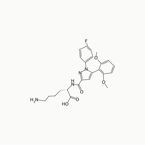 COc1cccc(OC)c1-c1cc(C(=O)N[C@@H](CCCCN)C(=O)O)nn1-c1ccc(F)cc1